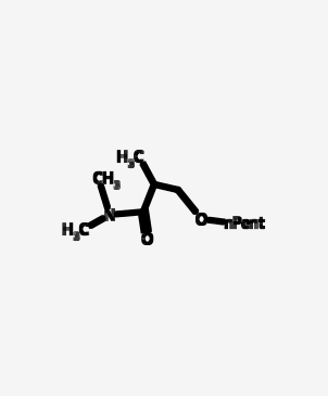 CCCCCOCC(C)C(=O)N(C)C